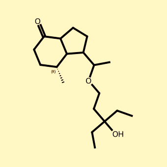 CCC(O)(CC)CCOC(C)C1CCC2C(=O)CC[C@@H](C)C21